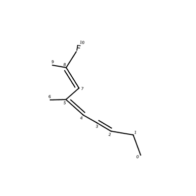 CCC=C/C=C(C)\C=C(/C)F